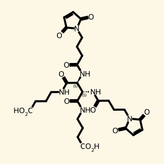 O=C(O)CCCNC(=O)[C@@H](NC(=O)CCCN1C(=O)C=CC1=O)[C@H](NC(=O)CCCN1C(=O)C=CC1=O)C(=O)NCCCC(=O)O